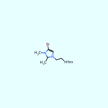 CCCCCCCCN1C=C(Br)N(C)C1C